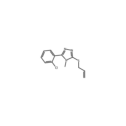 C=CCSc1nnc(-c2ccccc2Cl)n1C